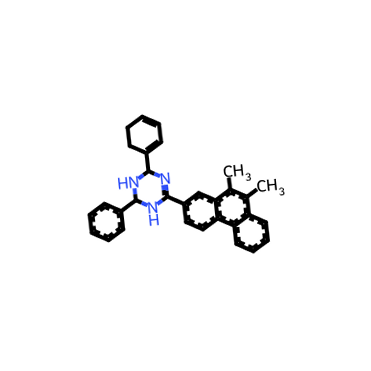 Cc1c(C)c2cc(C3=NC(C4=CC=CCC4)NC(c4ccccc4)N3)ccc2c2ccccc12